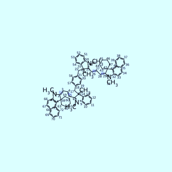 CN1/C(=C/C=C/C2=[N+](C)c3ccccc3C2(C)Cc2ccc(CC3(C)C(/C=C/C=C4/N(C)c5ccc6ccccc6c5C45CCCCC5)=[N+](C)c4ccccc43)cc2)C2(CCCCC2)c2c1ccc1ccccc21